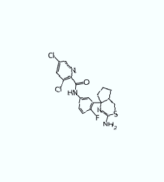 NC1=NC2(c3cc(NC(=O)c4ncc(Cl)cc4Cl)ccc3F)CCCC2CS1